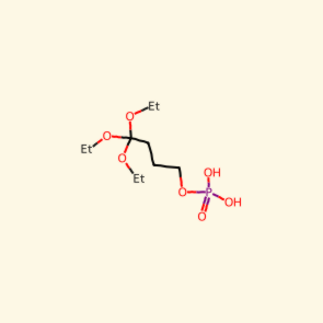 CCOC(CCCOP(=O)(O)O)(OCC)OCC